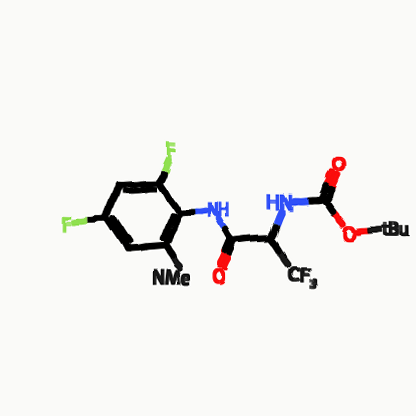 CNc1cc(F)cc(F)c1NC(=O)C(NC(=O)OC(C)(C)C)C(F)(F)F